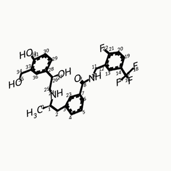 C[C@H](Cc1cccc(C(=O)NCc2cc(C(F)(F)F)ccc2F)c1)NC[C@H](O)c1ccc(O)c(CO)c1